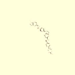 CCOC(=O)Cn1ccc2cc(NC(=O)c3ccc(-n4ccc5cc(NC(=O)c6ccc(N7CCC(O)CC7)cc6)ccc54)cc3)ccc21